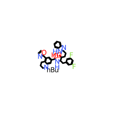 CCCCN1CCCc2c(-c3ncco3)cc(C(=O)NC(Cc3cc(F)cc(F)c3)C(O)CCc3nc4ccccc4[nH]3)cc21